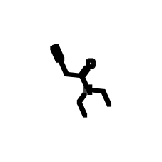 C#CCC(=O)N(CC)CC